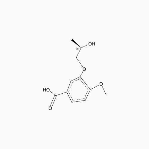 COc1ccc(C(=O)O)cc1OC[C@@H](C)O